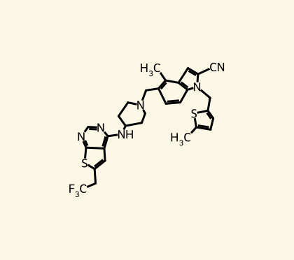 Cc1ccc(Cn2c(C#N)cc3c(C)c(CN4CCC(Nc5ncnc6sc(CC(F)(F)F)cc56)CC4)ccc32)s1